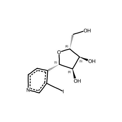 OC[C@H]1O[C@@H](c2ccncc2I)[C@H](O)[C@@H]1O